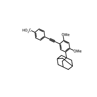 COc1cc(OC)c(C23CC4CC(CC(C4)C2)C3)cc1C#Cc1ccc(C(=O)O)cc1